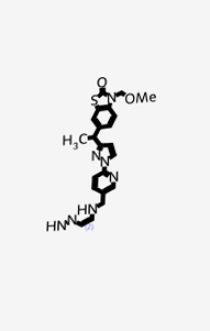 COCn1c(=O)sc2cc(C(C)c3ccn(-c4ccc(CN/C=C\N=N)cn4)n3)ccc21